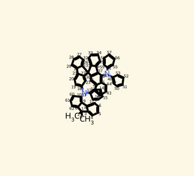 CC1(C)c2ccccc2-c2c(N(c3ccccc3)c3ccc4c(c3)C3(c5ccccc5-4)c4ccccc4-c4c3cc3ccccc3c4N(c3ccccc3)c3ccccc3)cccc21